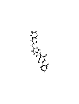 O=c1cc(-c2ccccc2F)ncn1CC1(O)CCN(CC(F)CC2CCCCC2)CC1